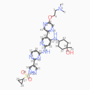 CN(C)CCOc1cnc(-c2cnc(Nc3ccnc(-c4cnn(S(=O)(=O)C5CC5)c4)n3)cc2NC2CCC(C)(O)CC2)cn1